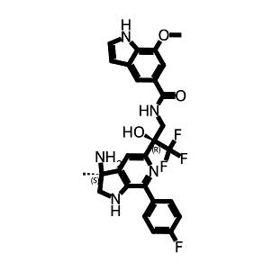 COc1cc(C(=O)NC[C@@](O)(c2cc3c(c(-c4ccc(F)cc4)n2)NC[C@@]3(C)N)C(F)(F)F)cc2cc[nH]c12